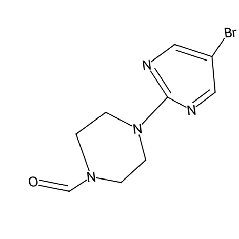 O=CN1CCN(c2ncc(Br)cn2)CC1